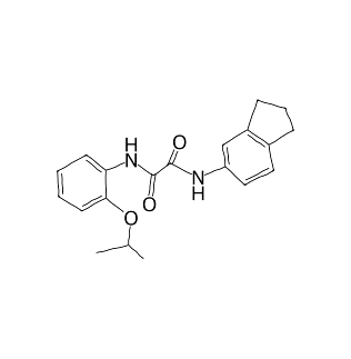 CC(C)Oc1ccccc1NC(=O)C(=O)Nc1ccc2c(c1)CCC2